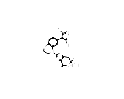 Cc1onc(N)c1-c1ccc2c(c1)N(c1nc3c(s1)C(=O)NC(C)(C)C3)CCO2